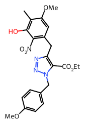 CCOC(=O)c1c(Cc2cc(OC)c(C)c(O)c2[N+](=O)[O-])nnn1Cc1ccc(OC)cc1